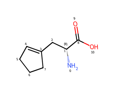 N[C@H](CC1=CCCC1)C(=O)O